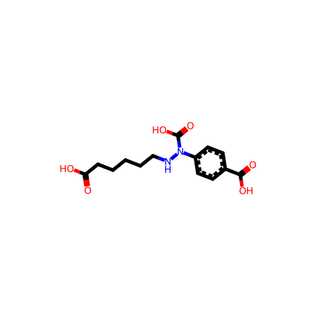 O=C(O)CCCCCNN(C(=O)O)c1ccc(C(=O)O)cc1